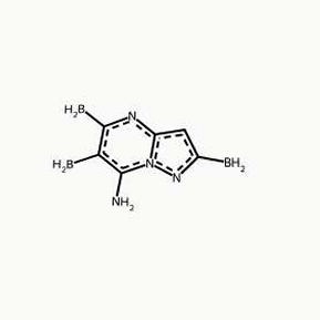 Bc1cc2nc(B)c(B)c(N)n2n1